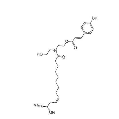 CCCCCC[C@H](O)C/C=C\CCCCCCCC(=O)N(CCO)CCOC(=O)/C=C/c1ccc(O)cc1